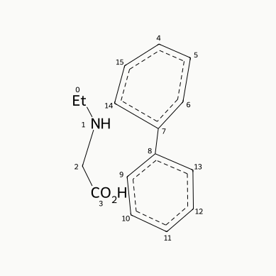 CCNCC(=O)O.c1ccc(-c2ccccc2)cc1